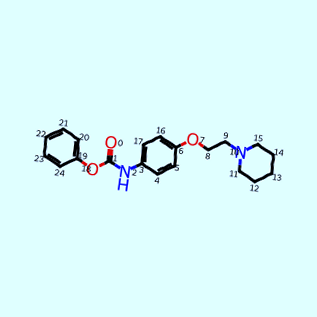 O=C(Nc1ccc(OCCN2CCCCC2)cc1)Oc1ccccc1